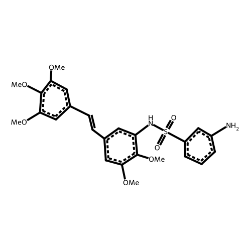 COc1cc(C=Cc2cc(OC)c(OC)c(OC)c2)cc(NS(=O)(=O)c2cccc(N)c2)c1OC